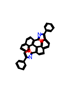 c1ccc(-c2coc(-c3ccc4ccccc4c3-c3c(-c4nc(-c5ccccc5)co4)ccc4ccccc34)n2)cc1